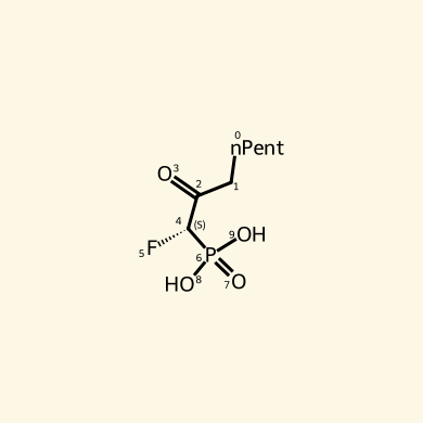 CCCCCCC(=O)[C@@H](F)P(=O)(O)O